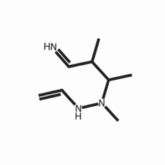 C=CNN(C)C(C)C(C)C=N